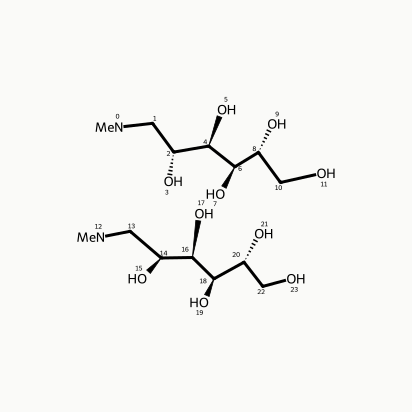 CNC[C@@H](O)[C@@H](O)[C@H](O)[C@H](O)CO.CNC[C@H](O)[C@@H](O)[C@H](O)[C@H](O)CO